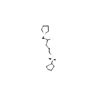 NC(CCCNS(=O)(=O)C1CCCC1)C(=O)N1CCCC1